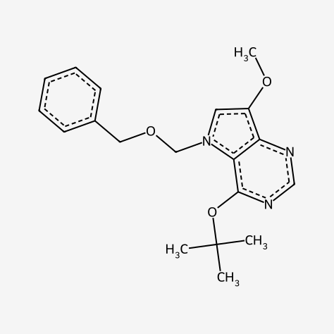 COc1cn(COCc2ccccc2)c2c(OC(C)(C)C)ncnc12